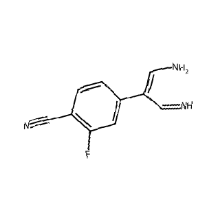 N#Cc1ccc(/C(C=N)=C/N)cc1F